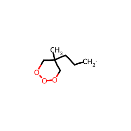 [CH2]CCC1(C)COOOC1